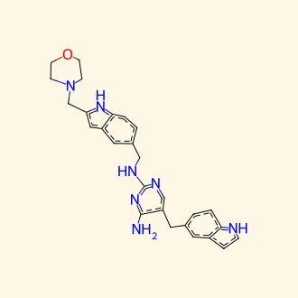 Nc1nc(NCc2ccc3[nH]c(CN4CCOCC4)cc3c2)ncc1Cc1ccc2[nH]ccc2c1